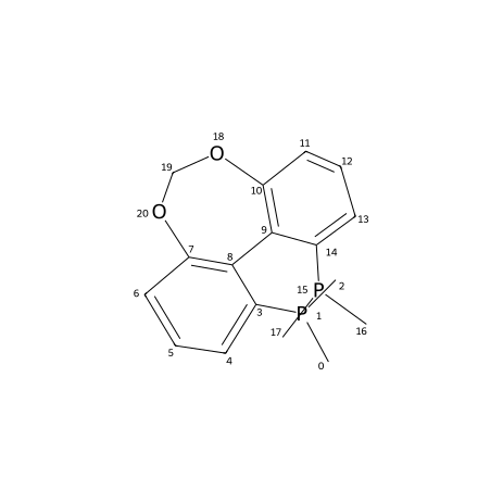 CP(C)c1cccc2c1-c1c(cccc1P(C)C)OCO2